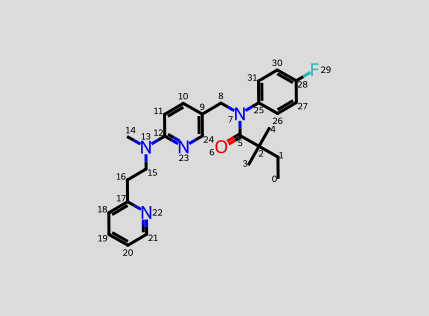 CCC(C)(C)C(=O)N(Cc1ccc(N(C)CCc2ccccn2)nc1)c1ccc(F)cc1